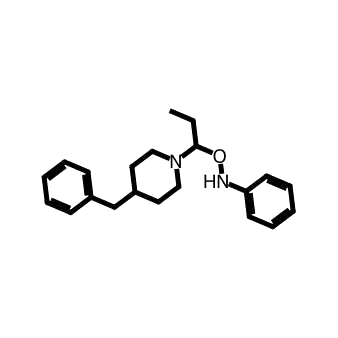 CCC(ONc1ccccc1)N1CCC(Cc2ccccc2)CC1